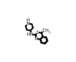 CC1SC(NC2CCNCC2)=Nc2ccccc21